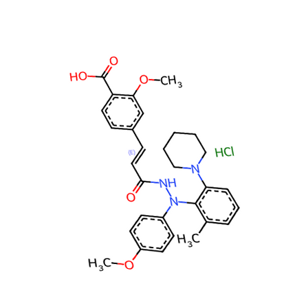 COc1ccc(N(NC(=O)/C=C/c2ccc(C(=O)O)c(OC)c2)c2c(C)cccc2N2CCCCC2)cc1.Cl